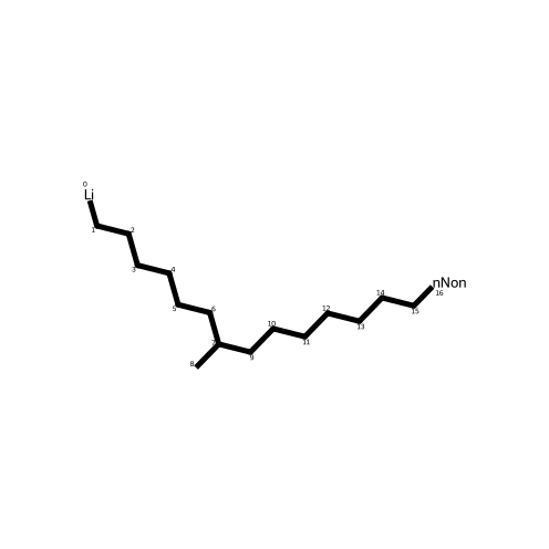 [Li][CH2]CCCCCC(C)CCCCCCCCCCCCCCCC